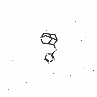 c1nnc(OC2C3CC4CC2CN(C4)C3)s1